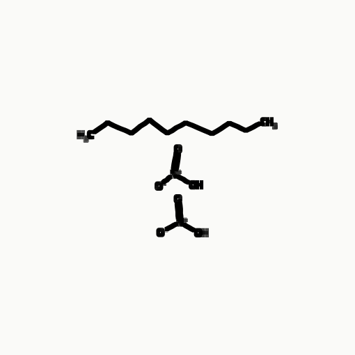 CCCCCCCCCC.O=[N+]([O-])O.O=[N+]([O-])O